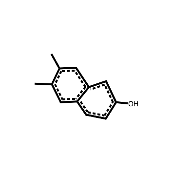 Cc1cc2ccc(O)cc2cc1C